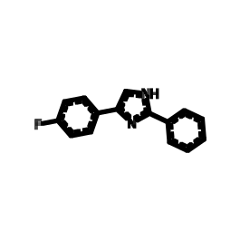 Fc1ccc(-c2c[nH]c(-c3ccccc3)n2)cc1